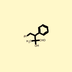 CC(C)CC(c1ccccc1)C(C)(O)C=O